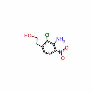 Nc1c([N+](=O)[O-])ccc(CCO)c1Cl